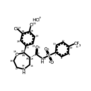 Cl.O=C(NS(=O)(=O)c1ccc(C(F)(F)F)cc1)[C@@H]1CNCCO[C@H]1c1ccc(Cl)c(Cl)c1